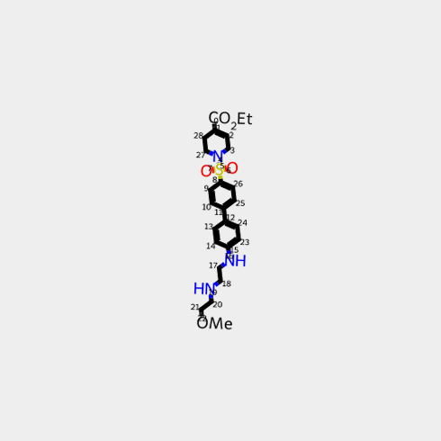 CCOC(=O)C1=CCN(S(=O)(=O)c2ccc(-c3ccc(NCCNCCOC)cc3)cc2)CC1